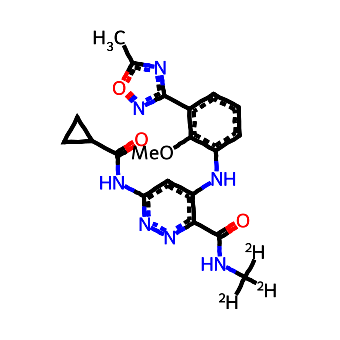 [2H]C([2H])([2H])NC(=O)c1nnc(NC(=O)C2CC2)cc1Nc1cccc(-c2noc(C)n2)c1OC